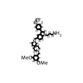 COc1cc(CN2CCC3(CC2)CCN(Cc2ccc4c(c2)c(-c2ccc(OC(F)(F)F)cc2)cn4CCCN)C3)cc(OC)c1